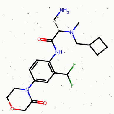 CN(CC1CCC1)[C@@H](CN)C(=O)Nc1ccc(N2CCOCC2=O)cc1C(F)F